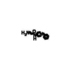 NCCC(=O)NC1CCN(Cc2ccccc2)CC1